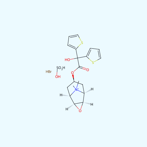 Br.C[N+]1(C)[C@@H]2C[C@@H](OC(=O)C(O)(c3cccs3)c3cccs3)C[C@H]1[C@H]1O[C@H]12.O=S(=O)(O)O